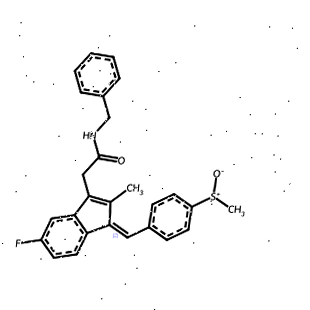 CC1=C(CC(=O)NCc2ccccc2)c2cc(F)ccc2/C1=C/c1ccc([S+](C)[O-])cc1